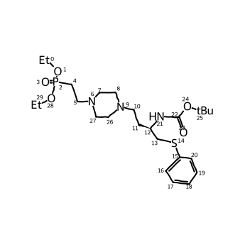 CCOP(=O)(CCN1CCN(CC[C@H](CSc2ccccc2)NC(=O)OC(C)(C)C)CC1)OCC